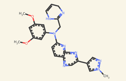 COc1cc(OC)cc(N(CC2=NCC=CN2)c2ccc3ncc(-c4cnn(C)c4)nc3n2)c1